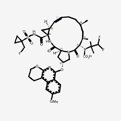 COc1ccc2c(O[C@@H]3C[C@H]4C(=O)N[C@]5(C(=O)NS(=O)(=O)C6(CF)CC6)C[C@H]5/C=C\CC[C@@H](C)C[C@@H](C)[C@H](N(C(=O)O)C(C)(C)C(F)F)C(=O)N4C3)nc3c(c2c1)CCCO3